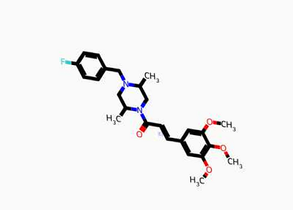 COc1cc(/C=C/C(=O)N2CC(C)N(Cc3ccc(F)cc3)CC2C)cc(OC)c1OC